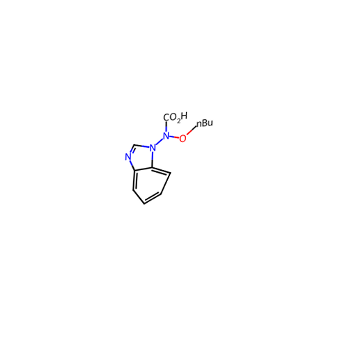 CCCCON(C(=O)O)n1cnc2ccccc21